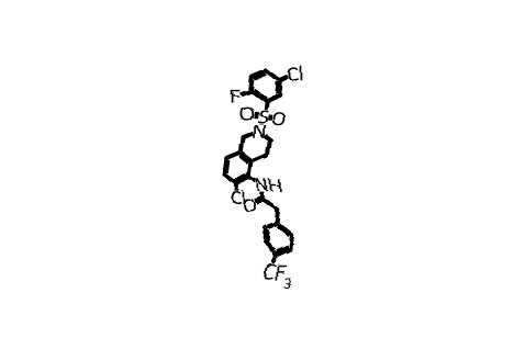 O=C(Cc1ccc(C(F)(F)F)cc1)Nc1c(Cl)ccc2c1CCN(S(=O)(=O)c1cc(Cl)ccc1F)C2